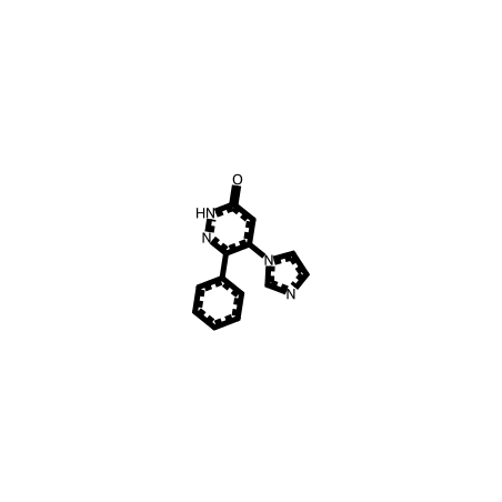 O=c1cc(-n2ccnc2)c(-c2ccccc2)n[nH]1